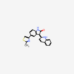 Cc1nc(-c2ccc3c(c2)/C(=C2\C=Cc4ccccc4N2)C(=O)N3)cs1